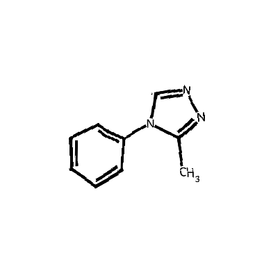 Cc1nn[c]n1-c1ccccc1